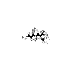 C=C(C(C)C)C(NC)NC(=C)C(NC(C)C)C(C)C